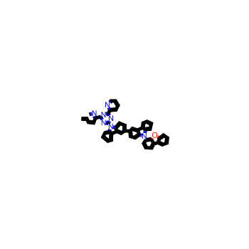 C=C/C=C\C(=N/C)c1nc(-c2ccccn2)nc(-n2c3ccccc3c3cc(-c4ccc5c(c4)c4ccccc4n5-c4cccc5c4oc4ccccc45)ccc32)n1